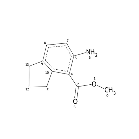 COC(=O)c1c(N)ccc2c1CCC2